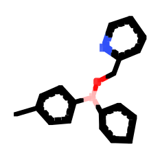 Cc1ccc(B(OCc2ccccn2)c2ccccc2)cc1